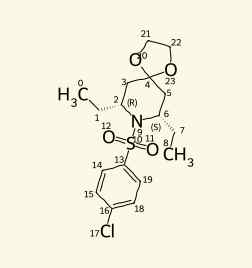 CC[C@@H]1CC2(C[C@H](CC)N1S(=O)(=O)c1ccc(Cl)cc1)OCCO2